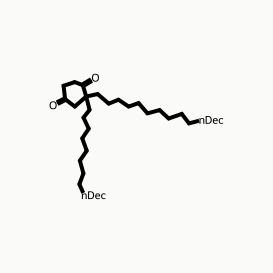 CCCCCCCCCCCCCCCCCCCCC1(CCCCCCCCCCCCCCCCCC)CC(=O)CCC1=O